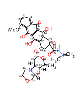 COc1cccc2c1C(=O)c1c(O)c3c(c(O)c1C2=O)C[C@@](O)(C(=O)NN(C)C)C[C@@H]3O[C@H]1C[C@H]2[C@H](O[C@@H]3COCCN32)[C@H](C)O1